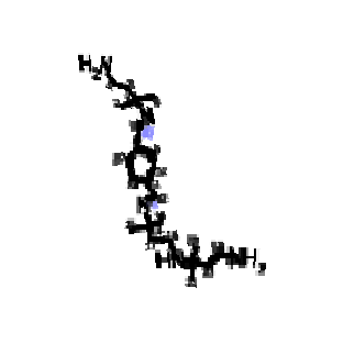 CC(C)(CCN)/N=C/c1ccc(/C=N/C(C)(C)CCNC(C)(C)CCN)cc1